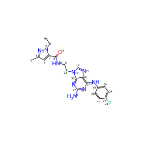 CCn1nc(C)cc1C(=O)NCCn1cnc2c(Nc3ccc(F)cc3)nc(N)nc21